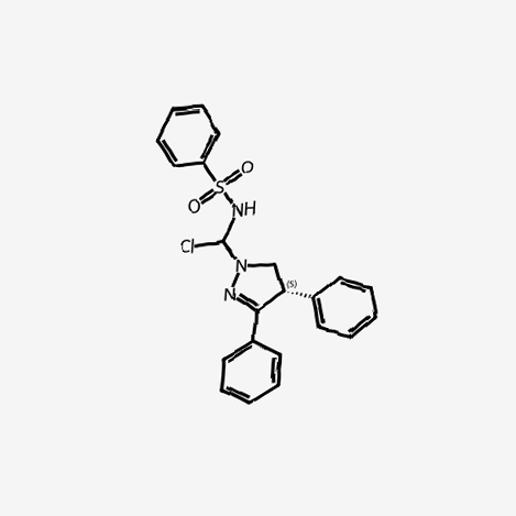 O=S(=O)(NC(Cl)N1C[C@H](c2ccccc2)C(c2ccccc2)=N1)c1ccccc1